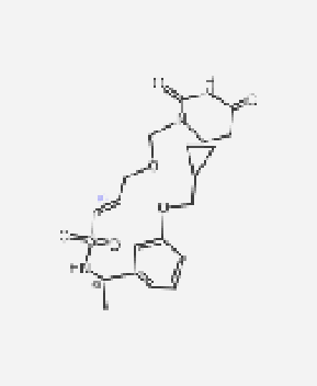 C[C@@H](NS(=O)(=O)/C=C/COCN1CCC(=O)NC1=O)c1cccc(OCC2CC2)c1